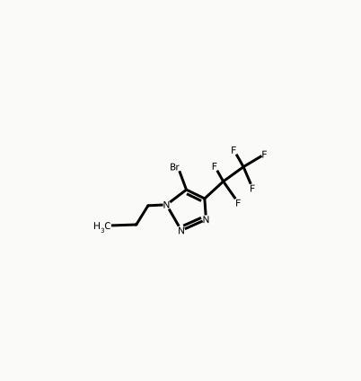 CCCn1nnc(C(F)(F)C(F)(F)F)c1Br